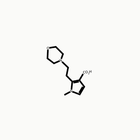 Cn1ccc(C(=O)O)c1CCN1CCOCC1